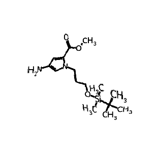 COC(=O)c1cc(N)cn1CCCO[Si](C)(C)C(C)(C)C